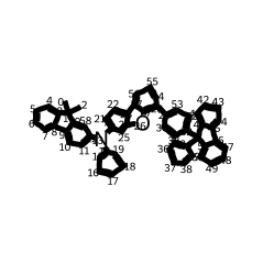 CC1(C)c2ccccc2-c2ccc(N(c3ccccc3)c3ccc4c(c3)oc3c(-c5ccc(C6(c7ccccc7)c7ccccc7-c7ccccc76)cc5)cccc34)cc21